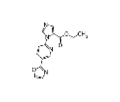 CCOC(=O)c1cncn1-c1ccc(-c2ncco2)cn1